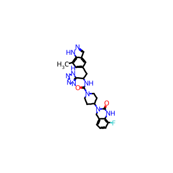 Cc1cc(CC(NC(=O)N2CCC(N3Cc4cccc(F)c4NC3=O)CC2)c2nnn[nH]2)cc2cn[nH]c12